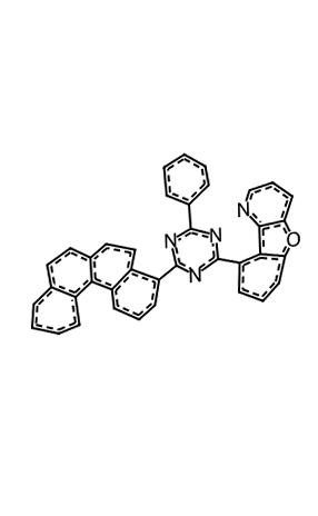 c1ccc(-c2nc(-c3cccc4c3ccc3ccc5ccccc5c34)nc(-c3cccc4oc5cccnc5c34)n2)cc1